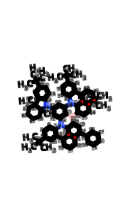 CC(C)(C)c1ccc(N2c3ccc(-c4ccccc4)cc3B3c4ccc(C(C)(C)C)cc4N(c4ccc(C(C)(C)C)cc4-c4ccccc4)c4cc(N5c6ccc(C(C)(C)C)cc6C6(C)CCCCC56C)cc2c43)c(-c2ccccc2)c1